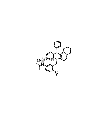 COc1ccc(N(C(C)C)S(C)(=O)=O)cc1CNC1C2CC3CCCC(C2)N3C1C(c1ccccc1)c1ccccc1